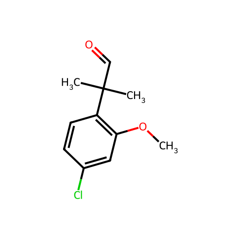 COc1cc(Cl)ccc1C(C)(C)C=O